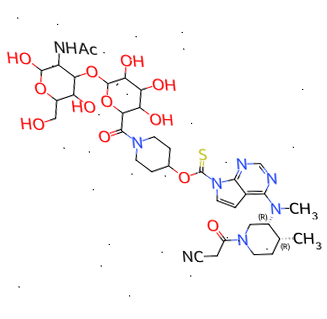 CC(=O)NC1C(O)OC(CO)C(O)C1OC1OC(C(=O)N2CCC(OC(=S)n3ccc4c(N(C)[C@H]5CN(C(=O)CC#N)CC[C@H]5C)ncnc43)CC2)C(O)C(O)C1O